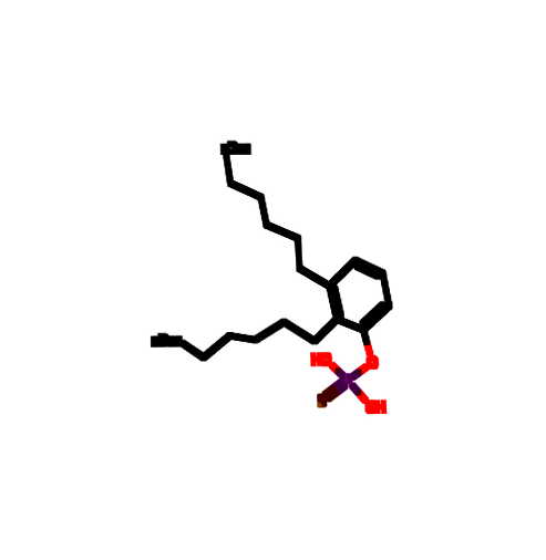 CCCCCCCCCCCCCCCc1cccc(OP(O)(O)=S)c1CCCCCCCCCCCCCCC